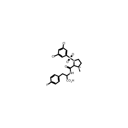 C[C@@H]1CCN(S(=O)(=O)c2cc(Cl)cc(Cl)c2)C1C(=O)NC(Cc1ccc(F)cc1)C(=O)O